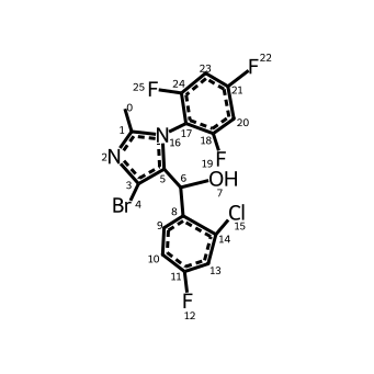 Cc1nc(Br)c(C(O)c2ccc(F)cc2Cl)n1-c1c(F)cc(F)cc1F